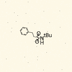 CC(C)(C)NS(=O)(=O)CCc1ccccc1